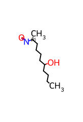 CCCCC(O)CCCC[C@@H](C)N=O